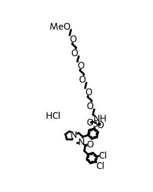 COCCOCCOCCOCCOCCOCCOCCNS(=O)(=O)c1cccc(C(CN2CCCC2)N(C)C(=O)Cc2ccc(Cl)c(Cl)c2)c1.Cl